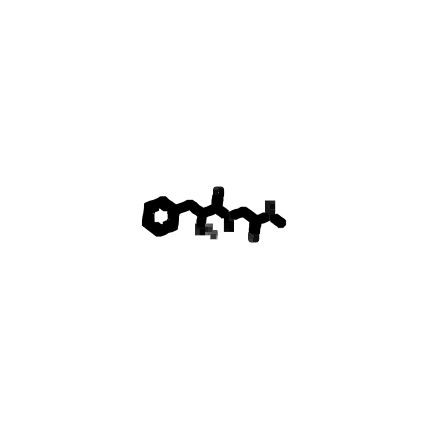 CNC(=O)CNC(=O)C(N)Cc1ccccc1